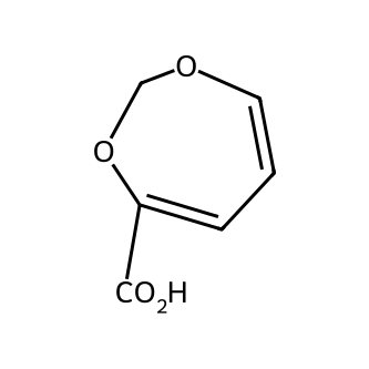 O=C(O)C1=CC=COCO1